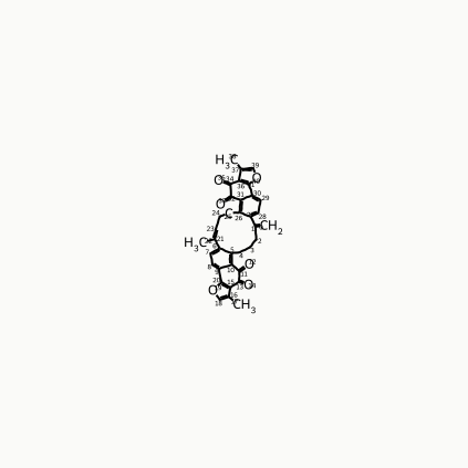 C=C1CCCc2c(ccc3c2C(=O)C(=O)c2c(C)coc2-3)/C(C)=C\CCc2c1ccc1c2C(=O)C(=O)c2c(C)coc2-1